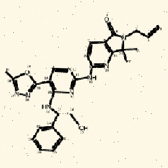 C=CCN1C(=O)c2ccc(Nc3ncc(-c4nnc(C)o4)c(N[C@H](CO)c4ccccc4)n3)nc2C1(C)C